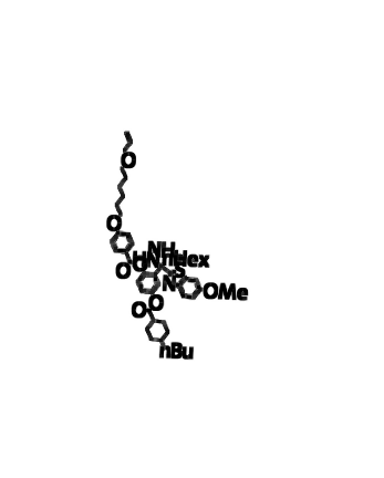 C=CCOCCCCCCOc1ccc(C(=O)Oc2ccc(OC(=O)C3CCC(CCCC)CC3)cc2C(CCCCCC)(NN)c2nc3ccc(OC)cc3s2)cc1